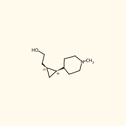 CN1CCC([C@H]2C[C@H]2CCO)CC1